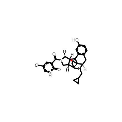 O=C(c1cc(Cl)c[nH]c1=O)N1C[C@H]2C[C@@]34CC[C@@H]1[C@@H]2[C@@]31CCN(CC2CC2)[C@@H]4Cc2ccc(O)cc21